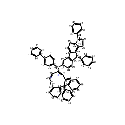 C=C1/C=C(N(c2ccc(-c3ccccc3)cc2)c2ccc3c(c2)c2ccc4c(ccn4-c4ccccc4)c2n3-c2ccccc2)\C=C/Cc2ccccc2C1(c1ccccc1)c1ccccc1